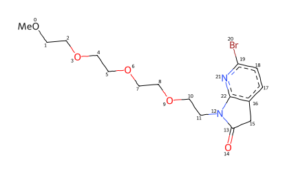 COCCOCCOCCOCCN1C(=O)Cc2ccc(Br)nc21